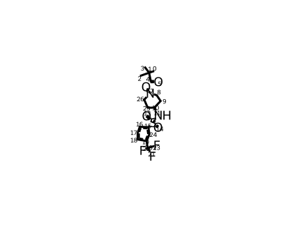 CC(C)(C)C(=O)ON1CCC(NS(=O)(=O)c2cccc(C(F)(F)F)c2)CC1